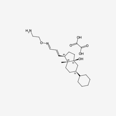 C[C@]12CC[C@H](C3CCCCC3)C[C@@]1(O)CC[C@@H]2C=CC=NOCCN.O=C(O)C(=O)O